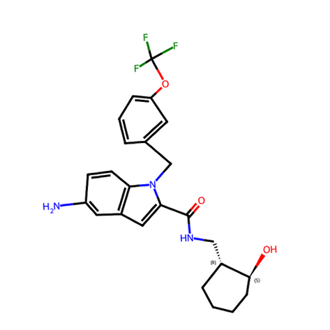 Nc1ccc2c(c1)cc(C(=O)NC[C@H]1CCCC[C@@H]1O)n2Cc1cccc(OC(F)(F)F)c1